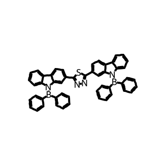 c1ccc(B(c2ccccc2)n2c3ccccc3c3ccc(-c4nnc(-c5ccc6c7ccccc7n(B(c7ccccc7)c7ccccc7)c6c5)s4)cc32)cc1